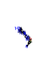 N#CC[C@H](CN1CCN(C(=O)c2ccc(C#N)cc2F)CC1)n1cc(-c2ncnc3[nH]ccc23)cn1